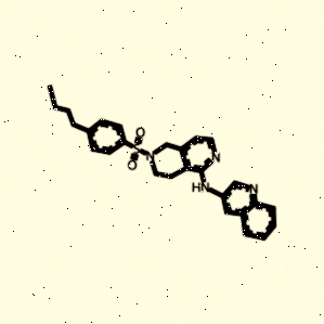 CCCCc1ccc(S(=O)(=O)N2CCc3c(ccnc3Nc3cnc4ccccc4c3)C2)cc1